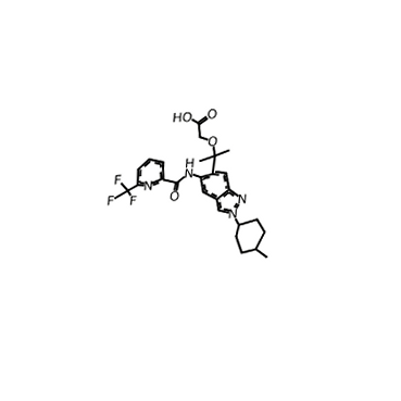 CC1CCC(n2cc3cc(NC(=O)c4cccc(C(F)(F)F)n4)c(C(C)(C)OCC(=O)O)cc3n2)CC1